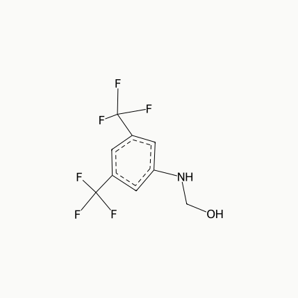 OCNc1cc(C(F)(F)F)cc(C(F)(F)F)c1